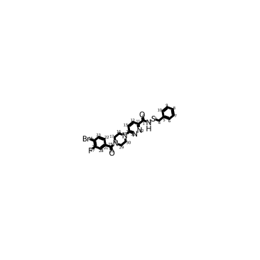 O=C(NSCc1ccccc1)c1ccc(N2CCN(C(=O)c3ccc(Br)c(F)c3)CC2)nn1